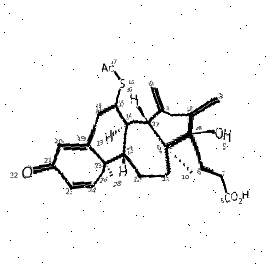 C=C1C(=C)[C@](O)(CCC(=O)O)[C@@]2(C)CC[C@H]3[C@@H](C(SC(C)=O)CC4=CC(=O)C=C[C@@]43C)[C@H]12